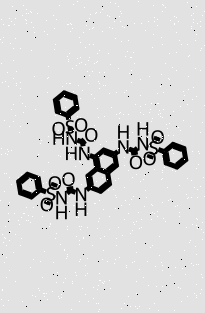 O=C(Nc1cc(NC(=O)NS(=O)(=O)c2ccccc2)c2cc(NC(=O)NS(=O)(=O)c3ccccc3)ccc2c1)NS(=O)(=O)c1ccccc1